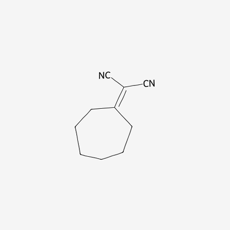 N#CC(C#N)=C1CCCCCC1